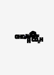 O=C/C=N/Nc1cccc(F)c1C(=O)O